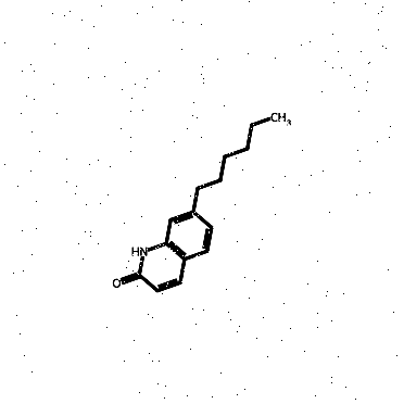 CCCCCCc1ccc2ccc(=O)[nH]c2c1